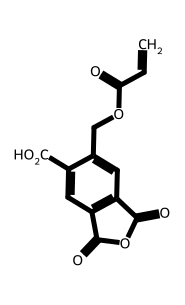 C=CC(=O)OCc1cc2c(cc1C(=O)O)C(=O)OC2=O